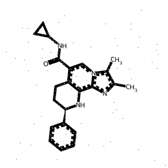 Cc1nc2c3c(c(C(=O)NC4CC4)cn2c1C)CC[C@H](c1ccccc1)N3